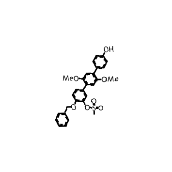 COc1cc(-c2ccc(OCc3ccccc3)c(OS(C)(=O)=O)c2)c(OC)cc1-c1ccc(O)cc1